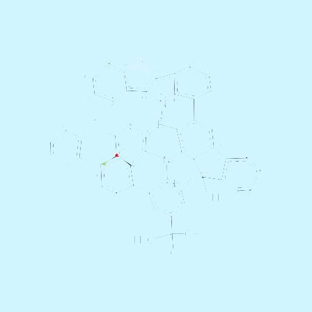 CC(C)(C)c1ccc(N2c3cc4c(cc3B3c5c(cc6c(c52)C(C)(C)c2ccccc2-6)-c2cccc5c6oc7ccccc7c6n3c25)Sc2ccccc2S4)c(-c2ccccc2)c1